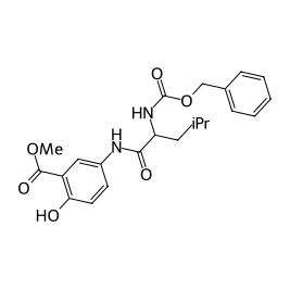 COC(=O)c1cc(NC(=O)C(CC(C)C)NC(=O)OCc2ccccc2)ccc1O